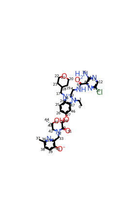 CCn1c(CNC(=O)c2nc(Cl)cnc2N)[n+](CC2CCOCC2)c2ccc(OCC(=O)N(Cc3nc(C)ccc3[O-])C[C@H](C)O)cc21